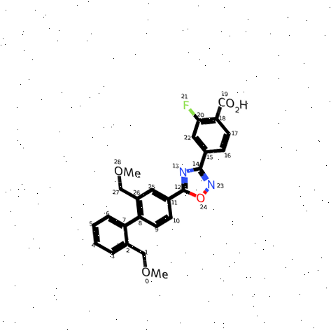 COCc1ccccc1-c1ccc(-c2nc(-c3ccc(C(=O)O)c(F)c3)no2)cc1COC